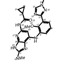 CNc1nc2c(Nc3cccc(-c4ncn(C)n4)c3OC)cc(NC(=O)C3CC3)nc2[nH]1